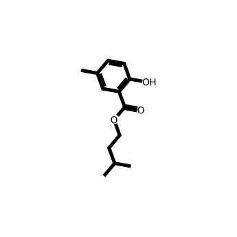 Cc1ccc(O)c(C(=O)OCCC(C)C)c1